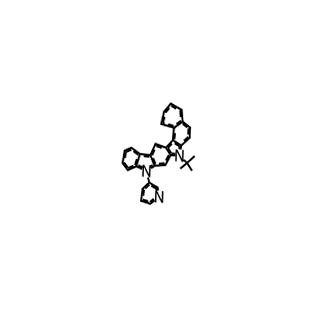 CC(C)(C)n1c2cc3c(cc2c2c4ccccc4ccc21)c1ccccc1n3-c1cccnc1